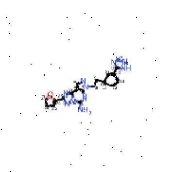 Nc1nc2c(cnn2CCc2cccc(-c3nnn[nH]3)c2)c2nc(-c3ccco3)nn12